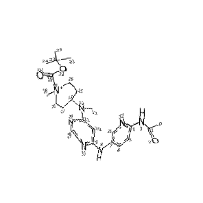 CC(=O)Nc1ccc(Nc2cc(N(C)C3CC[N+](C)(C(=O)OC(C)(C)C)CC3)ncn2)cn1